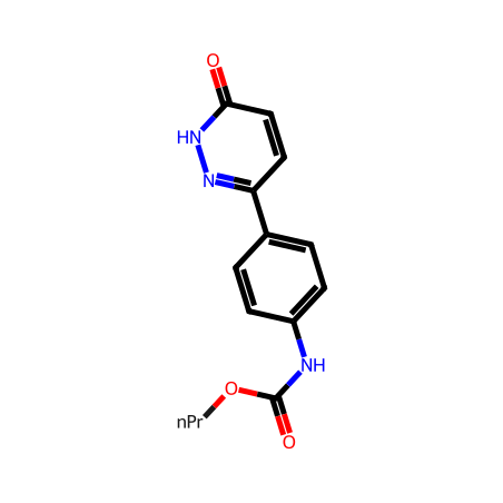 CCCOC(=O)Nc1ccc(-c2ccc(=O)[nH]n2)cc1